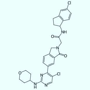 O=C(CN1Cc2ccc(-c3nc(NC4CCOCC4)ncc3Cl)cc2C1=O)NC1CCc2cc(Cl)ccc21